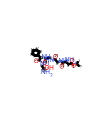 CC(C)OC(=O)CC(N)C(=O)NCC(=O)NCC(=O)N[C@H](C(=O)NCC(N)O)c1ccccc1